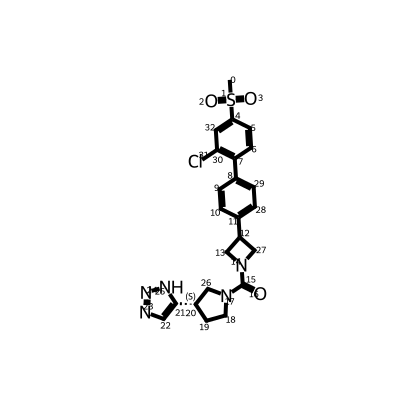 CS(=O)(=O)c1ccc(-c2ccc(C3CN(C(=O)N4CC[C@H](c5cnn[nH]5)C4)C3)cc2)c(Cl)c1